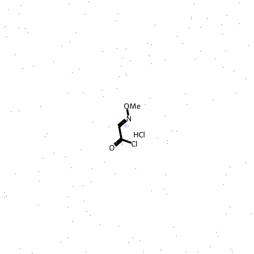 CO/N=C/C(=O)Cl.Cl